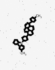 Cc1ccc(-c2ccc3ccc4c(-c5ccc(-n6c7ccccc7c7cc(C)ccc76)cc5)ccc5ccc2c3c54)cc1